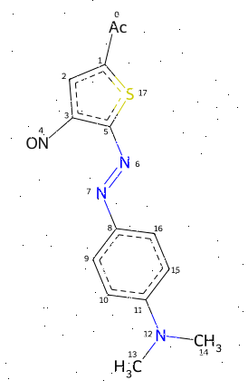 CC(=O)c1cc(N=O)c(N=Nc2ccc(N(C)C)cc2)s1